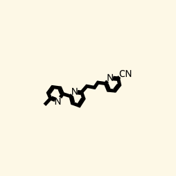 Cc1cccc(-c2cccc(CCCc3cccc(C#N)n3)n2)n1